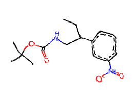 CCC(CNC(=O)OC(C)(C)C)c1cccc([N+](=O)[O-])c1